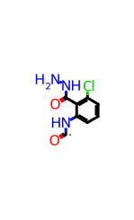 NNC(=O)c1c(Cl)cccc1N[C]=O